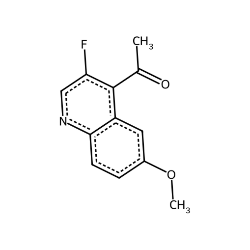 COc1ccc2ncc(F)c(C(C)=O)c2c1